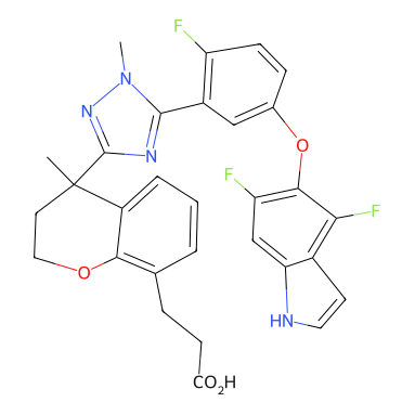 Cn1nc(C2(C)CCOc3c(CCC(=O)O)cccc32)nc1-c1cc(Oc2c(F)cc3[nH]ccc3c2F)ccc1F